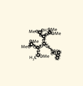 COc1cc(C)cc(COc2cc(COc3cc(COCCCCNC(=O)OCc4c5ccccc5cc5ccccc45)cc(OCc4cc(OCc5cc(OC)cc(OC)c5)cc(Oc5cc(C)cc(OC)c5)c4)c3)cc(OCc3cc(OC)cc(OC)c3)c2)c1